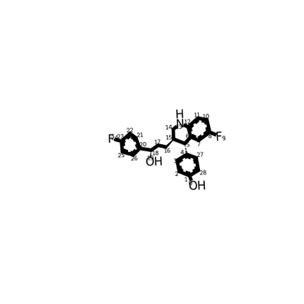 Oc1ccc([C@H]2c3cc(F)ccc3NC[C@@H]2CC[C@H](O)c2ccc(F)cc2)cc1